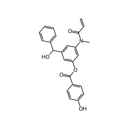 C=CC(=O)N(C)c1cc(OC(=O)c2ccc(O)cc2)cc(C(O)c2ccccc2)c1